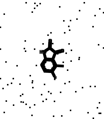 Cc1c(F)ccc2c1C(=O)C(=O)N2